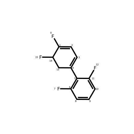 FC1=CC=C(c2c(F)cccc2F)CC1F